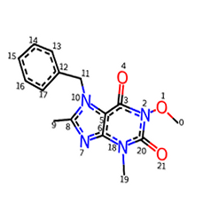 COn1c(=O)c2c(nc(C)n2Cc2ccccc2)n(C)c1=O